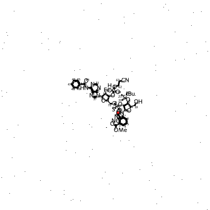 COC(=O)c1cccc2c1nnn2[C@@H]1O[C@H](CO)C(O[Si](C)(C)C(C)(C)C)[C@H]1OP(=S)(OCCC#N)OC[C@H]1O[C@@H](n2cnc3c(NC(=O)c4ccccc4)ncnc32)[C@H](F)[C@@H]1OP(=O)(O)OCCC#N